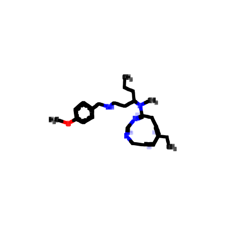 CCCC(CCNCc1ccc(OC)cc1)N(C)/C1=N/C=N\C/C=C\C(CC)=C/C1